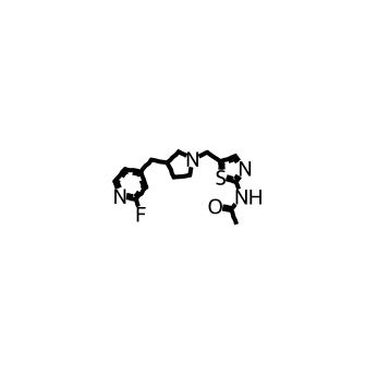 CC(=O)Nc1ncc(CN2CCC(Cc3ccnc(F)c3)C2)s1